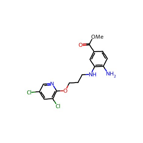 COC(=O)c1ccc(N)c(NCCCOc2ncc(Cl)cc2Cl)c1